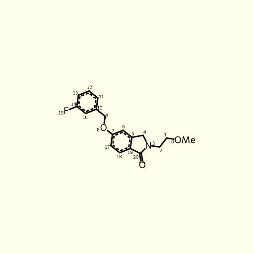 COCCN1Cc2cc(OCc3cccc(F)c3)ccc2C1=O